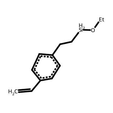 C=Cc1ccc(CC[SiH2]OCC)cc1